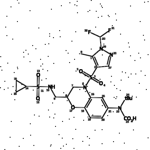 Cc1c(S(=O)(=O)N2CC(CNS(=O)(=O)C3CC3)Oc3ccc(N(C(=O)O)C(C)(C)C)cc32)cnn1C(F)F